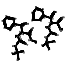 CC(C)(C)OC(=O)N[C@H](C(=O)O)C(=O)c1ccccc1.COC(=O)[C@@H](NC(=O)OC(C)(C)C)C(=O)c1ccccc1